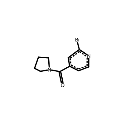 O=C(c1ccnc(Br)c1)N1CCCC1